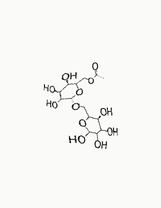 CC(=O)OCC1O[C@H](OCC2OC(O)C(O)C(O)[C@@H]2O)C(O)[C@@H](O)[C@H]1O